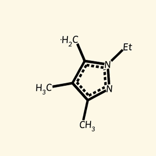 [CH2]c1c(C)c(C)nn1CC